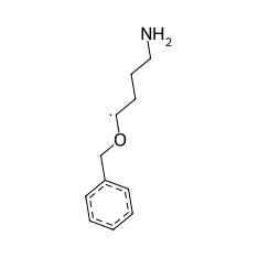 NCCC[CH]OCc1ccccc1